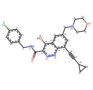 O=C(NCc1ccc(Cl)cc1)c1nnc2c(C#CC3CC3)cc(CN3CCOCC3)cc2c1O